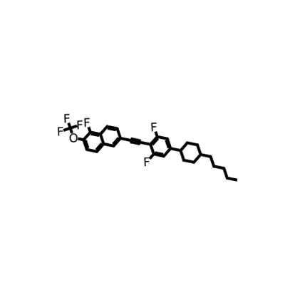 CCCCCC1CCC(c2cc(F)c(C#Cc3ccc4c(F)c(OC(F)(F)F)ccc4c3)c(F)c2)CC1